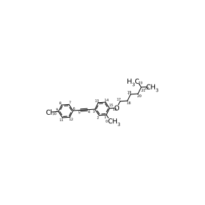 Cc1cc(C#Cc2ccc(Cl)cc2)ccc1OCC[CH]CC(C)C